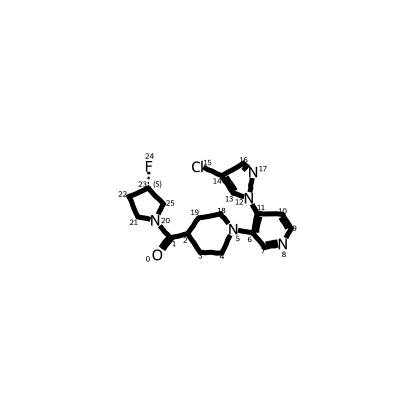 O=C(C1CCN(c2cnccc2-n2cc(Cl)cn2)CC1)N1CC[C@H](F)C1